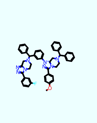 COc1ccc(-c2n[n+](-c3cccc(C(c4ccccc4)N4CCn5c(nnc5-c5cccc(F)c5)C4)c3)c3n2CCN(C(c2ccccc2)c2ccccc2)C3)cc1